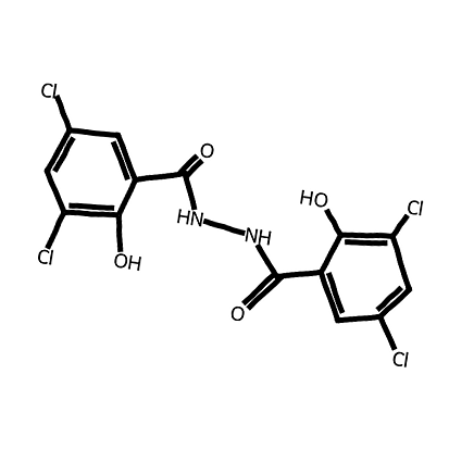 O=C(NNC(=O)c1cc(Cl)cc(Cl)c1O)c1cc(Cl)cc(Cl)c1O